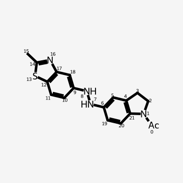 CC(=O)N1CCc2cc(NNc3ccc4sc(C)nc4c3)ccc21